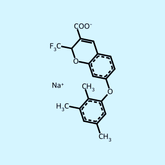 Cc1cc(C)c(C)c(Oc2ccc3c(c2)OC(C(F)(F)F)C(C(=O)[O-])=C3)c1.[Na+]